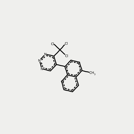 Cc1ccc(-c2cnnnc2C(Cl)(Cl)Cl)c2ccccc12